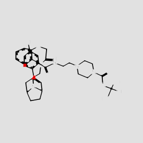 CC(C)(C)OC(=O)N1CCN(CCNC(=O)c2cc(Cl)ccc2C2=CC3CCC(C2)N3CCN2C(=O)COc3ccccc32)CC1